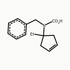 CCC1(N(Cc2ccccc2)C(=O)O)CC=CC1